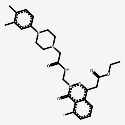 CCOC(=O)Cc1nn(CNC(=O)CN2CCN(c3ccc(C)c(C)c3)CC2)c(=O)c2c(F)cccc12